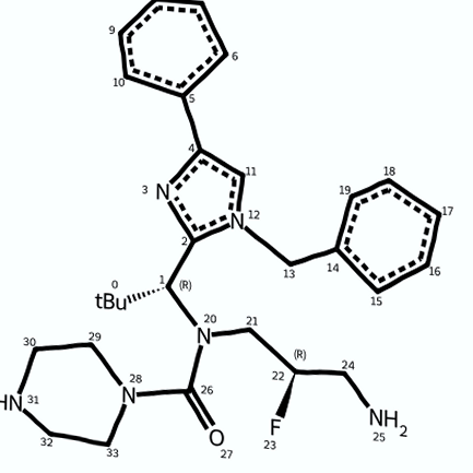 CC(C)(C)[C@H](c1nc(-c2ccccc2)cn1Cc1ccccc1)N(C[C@H](F)CN)C(=O)N1CCNCC1